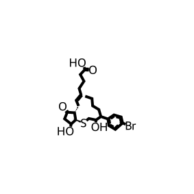 CCCCC(c1ccc(Br)cc1)C(O)CS[C@H]1C(O)CC(=O)[C@@H]1CC=CCCCC(=O)O